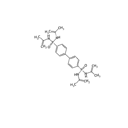 C=C(C)NP(=O)(NC(=C)C)c1ccc(-c2ccc(P(=O)(NC(=C)C)NC(=C)C)cc2)cc1